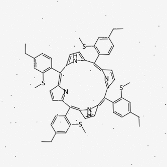 CCc1ccc(-c2c3nc(c(-c4ccc(CC)cc4SC)c4ccc([nH]4)c(-c4ccc(CC)cc4SC)c4nc(c(-c5ccc(CC)cc5SC)c5ccc2[nH]5)C=C4)C=C3)c(SC)c1